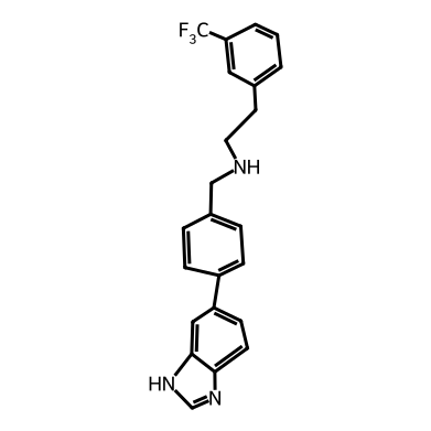 FC(F)(F)c1cccc(CCNCc2ccc(-c3ccc4nc[nH]c4c3)cc2)c1